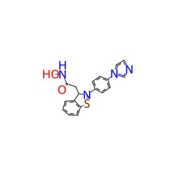 O=C(CC1c2ccccc2SN1c1ccc(-n2ccnc2)cc1)NO